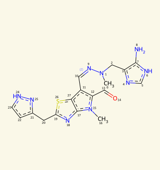 CN(Cc1nc[nH]c1N)/N=C\c1c(C=O)n(C)c2nc(Cc3cc[nH]n3)sc12